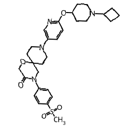 CS(=O)(=O)c1ccc(N2CC3(CCN(c4ccc(OC5CCN(C6CCC6)CC5)nc4)CC3)OCC2=O)cc1